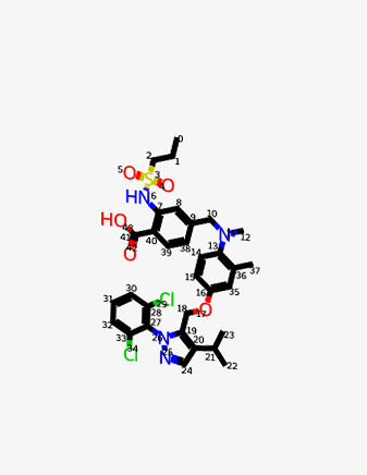 CCCS(=O)(=O)Nc1cc(CN(C)c2ccc(OCc3c(C(C)C)cnn3-c3c(Cl)cccc3Cl)cc2C)ccc1C(=O)O